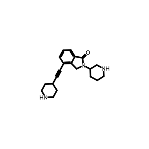 O=C1c2cccc(C#CC3CCNCC3)c2CN1C1CCCNC1